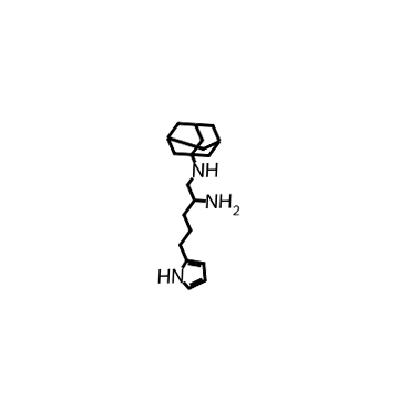 NC(CCCc1ccc[nH]1)CNC12CC3CC(CC(C3)C1)C2